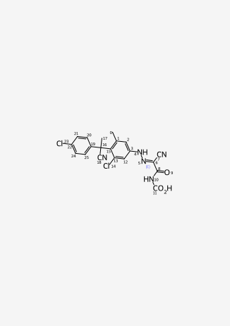 Cc1cc(N/N=C(\C#N)C(=O)NC(=O)O)cc(Cl)c1C(C)(C#N)c1ccc(Cl)cc1